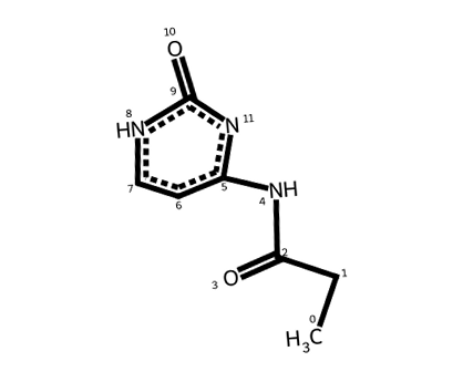 CCC(=O)Nc1cc[nH]c(=O)n1